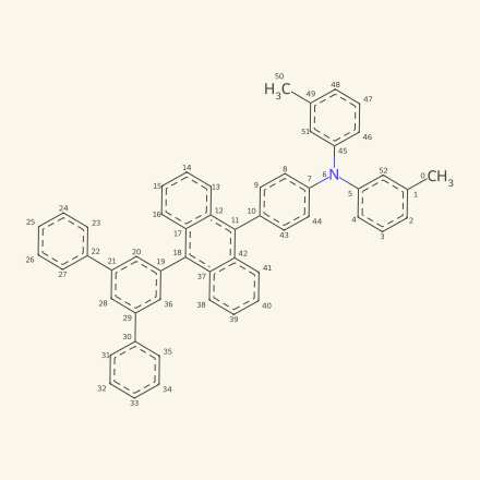 Cc1cccc(N(c2ccc(-c3c4ccccc4c(-c4cc(-c5ccccc5)cc(-c5ccccc5)c4)c4ccccc34)cc2)c2cccc(C)c2)c1